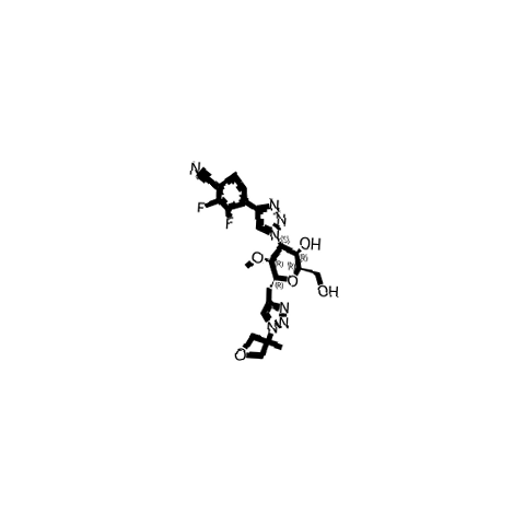 CO[C@@H]1[C@@H](n2cc(-c3ccc(C#N)c(F)c3F)nn2)[C@@H](O)[C@@H](CO)O[C@@H]1Cc1cn(C2(C)COC2)nn1